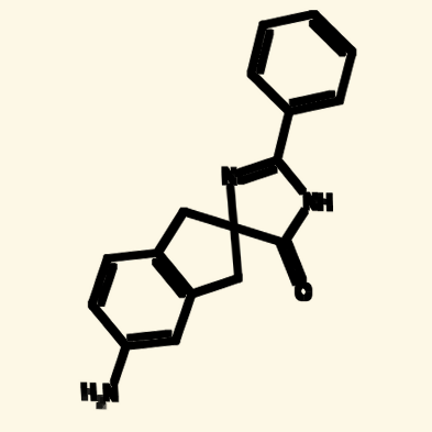 Nc1ccc2c(c1)CC1(C2)N=C(c2ccccc2)NC1=O